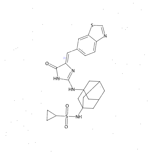 O=C1NC(NC23CC4CC(C2)CC(NS(=O)(=O)C2CC2)(C4)C3)=N/C1=C\c1ccc2ncsc2c1